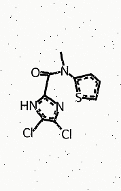 CN(C(=O)c1nc(Cl)c(Cl)[nH]1)c1cccs1